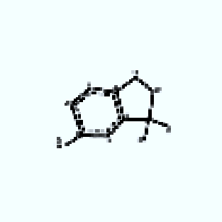 CCCc1ccc2c(c1)C(C)(C)CC2